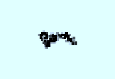 CC(C)(CCOc1ccc(-c2ccnn2C2CCCCO2)nc1)CCC(=O)O